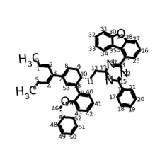 C/C=C/C(=C\CC)C1=CC[C@H](CCc2nc(-c3ccccc3)nc(-c3cccc4oc5ccccc5c34)n2)C(c2ccccc2OC[C@H]2C=CC=CC2)=C1